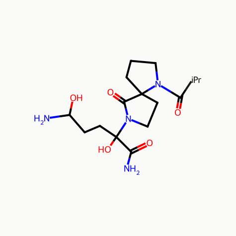 CC(C)C(=O)N1CCCC12CCN(C(O)(CCC(N)O)C(N)=O)C2=O